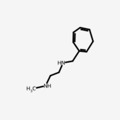 CNCCNCC1=CCC=CC=C1